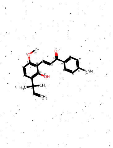 C=CC(C)(C)c1ccc(OC(C)C)c(C=CC(=O)c2ccc(NC)cc2)c1O